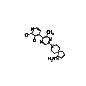 Cc1nc(N2CCC3(CCC[C@H]3N)CC2)cnc1-c1ccnc(Cl)c1Cl